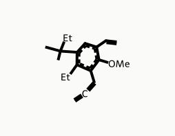 C=C=Cc1c(CC)c(C(C)(C)CC)cc(C=C)c1OC